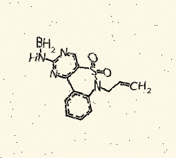 BNc1ncc2c(n1)-c1ccccc1N(CC=C)S2(=O)=O